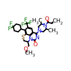 C=CC(=O)N1C(C)CN(c2nc(=O)n3c4c(c(C5CCC(F)(F)CC5)c(C(F)(F)F)cc24)SCC3COC)CC1C